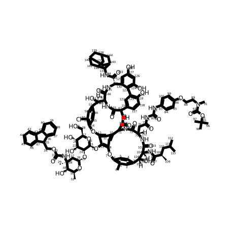 Cc1cc2ccc1Oc1cc3cc(c1O[C@@H]1O[C@H](CO)[C@@H](O)[C@H](O)[C@H]1O[C@H]1C[C@](C)(NC(=O)OCC4c5ccccc5-c5ccccc54)[C@H](O)[C@H](C)O1)Oc1ccc(cc1Cl)[C@@H](O)[C@@H]1NC(=O)[C@H](NC(=O)[C@@H]3NC(=O)[C@H](CC(=O)NC(=O)Nc3ccc(OCCN(C)C(=O)OC(C)(C)C)cc3)NC(=O)[C@H](NC(=O)[C@H](C)CC(C)C)[C@@H]2O)c2ccc(O)c(c2)-c2c(O)cc(O)cc2[C@@H](C(=O)NC2C3CC4CC(C3)CC2C4)NC1=O